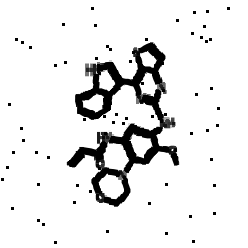 C=CC(=O)Nc1cc(Nc2nc(-c3c[nH]c4ccccc34)c3sccc3n2)c(OC)cc1N1CCOCC1